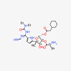 CCN(CC)C(=O)N/C(=N/C=N)c1ccc([C@]2(C#N)O[C@H](COC(=O)CC3CCCCC3)[C@@H](OC(=O)[C@@H](N)C(C)C)[C@H]2O)[nH]1